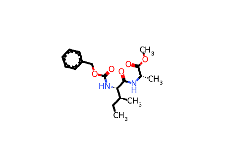 CC[C@H](C)[C@H](NC(=O)OCc1ccccc1)C(=O)N[C@@H](C)C(=O)OC